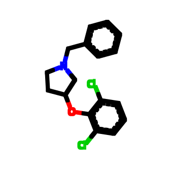 Clc1cccc(Cl)c1OC1CCN(Cc2ccccc2)C1